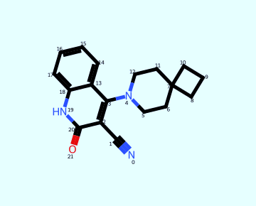 N#Cc1c(N2CCC3(CCC3)CC2)c2ccccc2[nH]c1=O